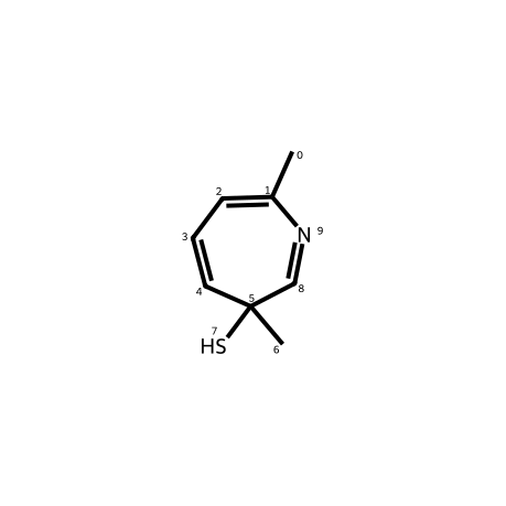 CC1=CC=CC(C)(S)C=N1